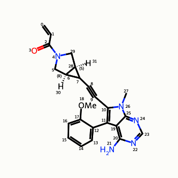 C=CC(=O)N1C[C@@H]2C(C#Cc3c(-c4ccccc4OC)c4c(N)ncnc4n3C)[C@@H]2C1